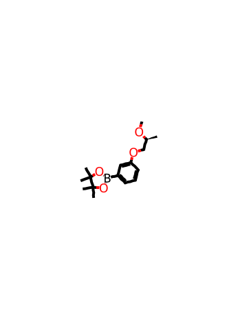 CO[C@@H](C)COc1cccc(B2OC(C)(C)C(C)(C)O2)c1